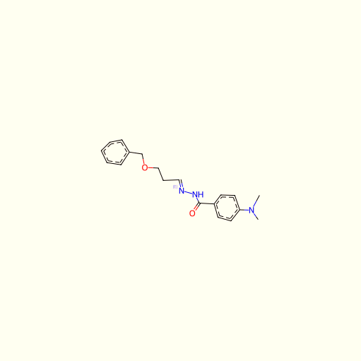 CN(C)c1ccc(C(=O)N/N=C/CCOCc2ccccc2)cc1